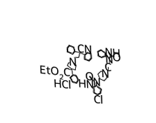 CCOC(=O)C1(c2ccccc2)CCN(CCC(C#N)(c2ccccc2)c2ccccc2)CC1.Cl.O=c1[nH]c2ccccc2n1CCCN1CCC(n2c(=O)[nH]c3cc(Cl)ccc32)CC1